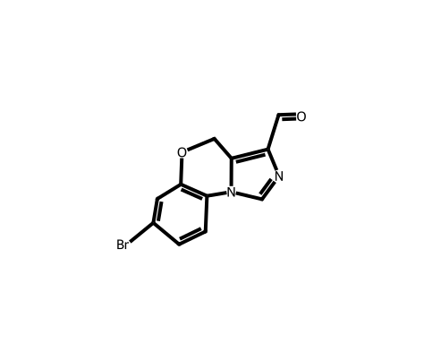 O=Cc1ncn2c1COc1cc(Br)ccc1-2